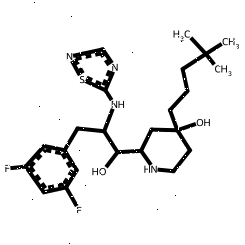 CC(C)(C)CCCC1(O)CCNC(C(O)C(Cc2cc(F)cc(F)c2)Nc2ncns2)C1